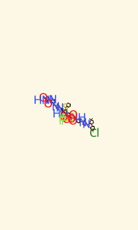 CC1(C)CCC(c2ccc(Cl)cc2)=C(CN2CCN(c3ccc(C(=O)NS(=O)(=O)c4ccc(N[C@H](CCN5CCN(Cc6ccnc(N7CCC(=O)NC7=O)c6)CC5)CSc5ccccc5)c(S(=O)(=O)C(F)(F)F)c4)cc3)CC2)C1